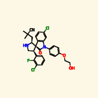 CC(C)(C#N)C[C@@H]1NC[C@H](c2cccc(Cl)c2F)[C@]12C(=O)N(c1ccc(OCCO)cc1)c1cc(Cl)ccc12